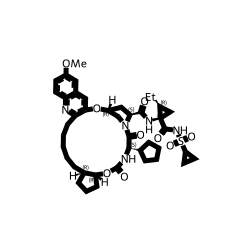 CC[C@@H]1C[C@]1(NC(=O)[C@@H]1C[C@@H]2CN1C(=O)[C@H](C1CCCC1)NC(=O)O[C@@H]1CCC[C@H]1CCCCCc1nc3ccc(OC)cc3cc1O2)C(=O)NS(=O)(=O)C1CC1